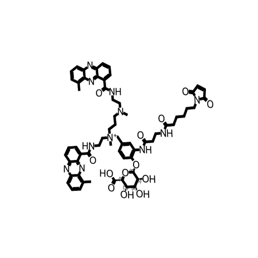 Cc1cccc2nc3cccc(C(=O)NCCN(C)CCC[N+](C)(CCNC(=O)c4cccc5nc6cccc(C)c6nc45)Cc4ccc(O[C@@H]5O[C@H](C(=O)O)[C@@H](O)[C@@H](O)[C@@H]5O)c(NC(=O)CCNC(=O)CCCCCN5C(=O)C=CC5=O)c4)c3nc12